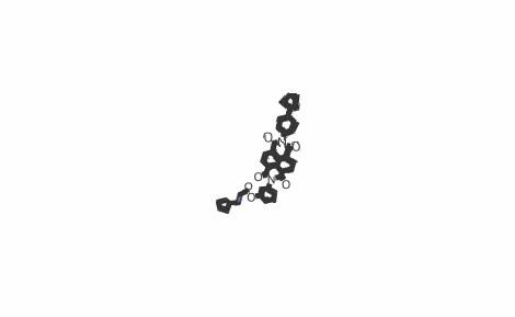 O=C(/C=C/C1C=CC=C1)Oc1cccc(N2C(=O)c3ccc4c5c(ccc(c35)C2=O)C(=O)N(c2ccc(C3=CCC=C3)cc2)C4=O)c1